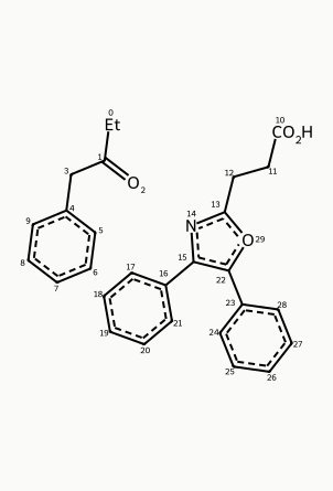 CCC(=O)Cc1ccccc1.O=C(O)CCc1nc(-c2ccccc2)c(-c2ccccc2)o1